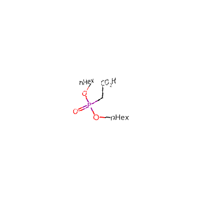 CCCCCCOP(=O)(CC(=O)O)OCCCCCC